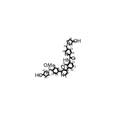 COc1cc(-c2nccc(-c3cccc(NC(=O)c4ccc(CN5CCC(O)C5)cn4)c3C)c2Cl)ccc1CN1CCC(O)C1